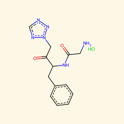 Cl.NCC(=O)NC(Cc1ccccc1)C(=O)Cn1ncnn1